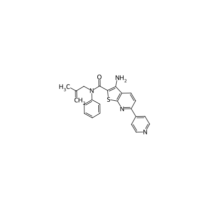 C=C(C)CN(C(=O)c1sc2nc(-c3ccncc3)ccc2c1N)c1ccccc1